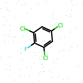 Fc1c(Cl)cc(Cl)cc1Cl